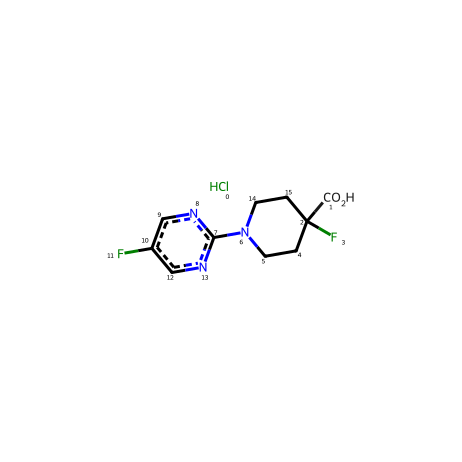 Cl.O=C(O)C1(F)CCN(c2ncc(F)cn2)CC1